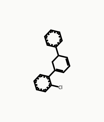 Clc1ccccc1C1=CC=CC(c2ccccc2)C1